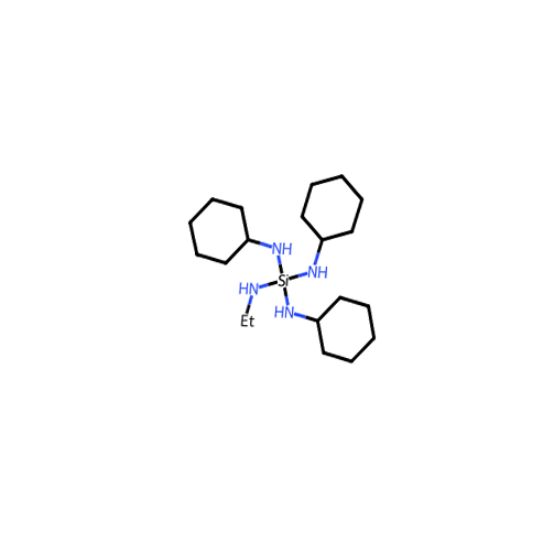 CCN[Si](NC1CCCCC1)(NC1CCCCC1)NC1CCCCC1